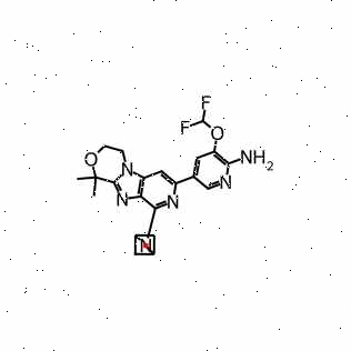 CC1(C)OCCn2c1nc1c(N3CC4CC3C4)nc(-c3cnc(N)c(OC(F)F)c3)cc12